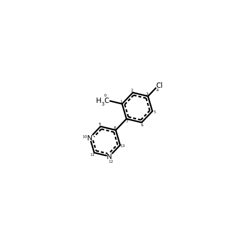 Cc1cc(Cl)ccc1-c1cncnc1